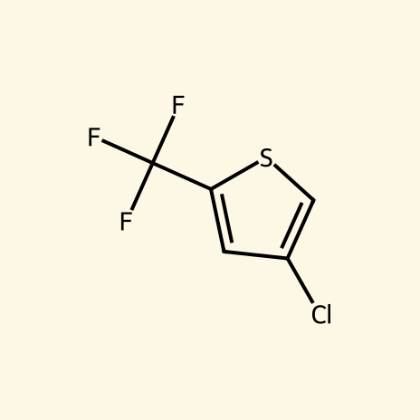 FC(F)(F)c1cc(Cl)cs1